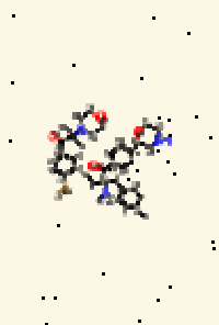 CCC(Cc1ccc(C)cc1)(C(=O)c1ccc(C2CNCCO2)cc1)N(C)C.CSc1ccc(C(=O)C(C)(C)N2CCOCC2)cc1